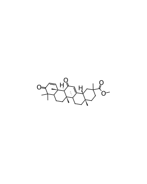 COC(=O)C1(C)CC[C@]2(C)CC[C@]3(C)C(=CC(=O)[C@@H]4[C@@]5(C)C=CC(=O)C(C)(C)C5CC[C@]43C)[C@@H]2C1